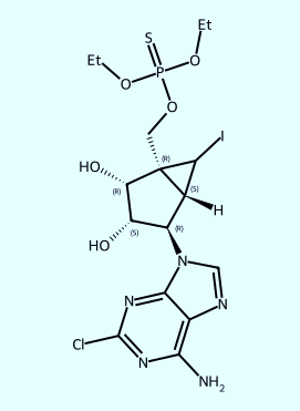 CCOP(=S)(OCC)OC[C@]12C(I)[C@@H]1[C@@H](n1cnc3c(N)nc(Cl)nc31)[C@H](O)[C@@H]2O